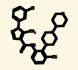 Cc1c(C(=O)Nc2cccc(C#N)c2N2CCN(C3CCOCC3)CC2)cnn1-c1cccc(Cl)c1